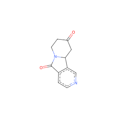 O=C1CCN2C(=O)c3ccncc3C2C1